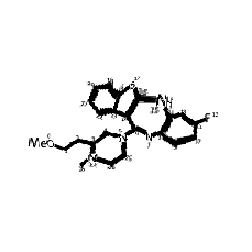 COCCC1CN(C2=Nc3ccc(F)cc3Nc3sc4ccccc4c32)CCN1C